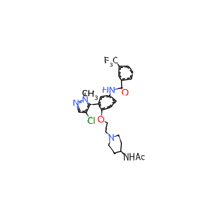 CC(=O)NC1CCN(CCOc2ccc(NC(=O)c3cccc(C(F)(F)F)c3)cc2-c2c(Cl)cnn2C)CC1